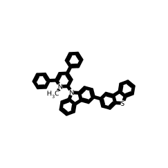 CN1C(c2ccccc2)=CC(c2ccccc2)=CC1n1c2ccccc2c2cc(-c3ccc4sc5ccccc5c4c3)ccc21